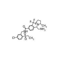 CCS(=O)(=O)c1ccc(Cl)cc1CNC(=O)c1ccc(C(CN)N2CCCC2C)c(C(F)(F)F)c1